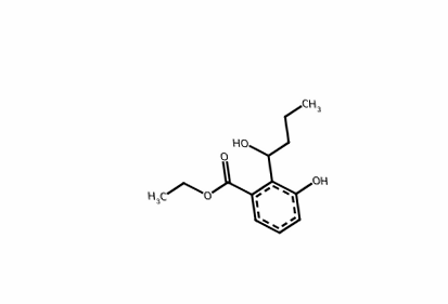 CCCC(O)c1c(O)cccc1C(=O)OCC